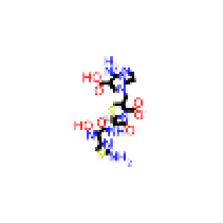 Nc1nc(/C(=N/O)C(=O)N[C@@H]2C(=O)N3C(C(=O)[O-])=C(Cn4cc(C(=O)O)c(N)[n+]5nccc4-5)CS[C@H]23)cs1